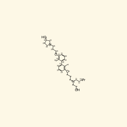 Cc1c(OCCCN(CCO)CCC(C)C)cccc1-c1cccc(OCCCN2CC[C@@H](O)C2)c1C